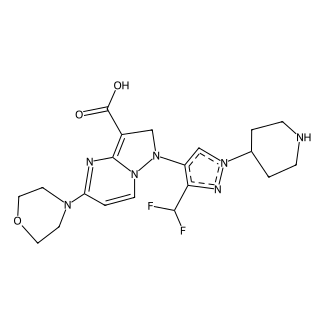 O=C(O)C1=C2N=C(N3CCOCC3)C=CN2N(c2cn(C3CCNCC3)nc2C(F)F)C1